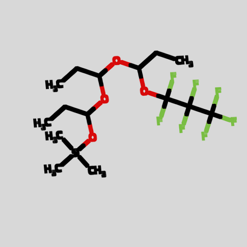 CCC(OC(CC)OC(F)(F)C(F)(F)C(F)(F)F)OC(CC)O[Si](C)(C)C